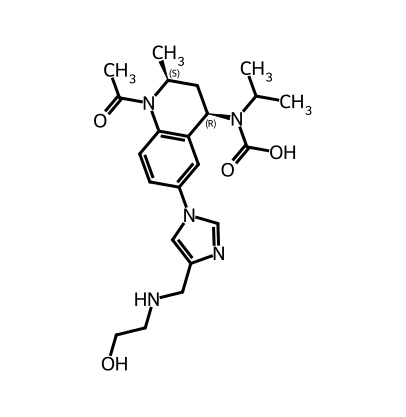 CC(=O)N1c2ccc(-n3cnc(CNCCO)c3)cc2[C@H](N(C(=O)O)C(C)C)C[C@@H]1C